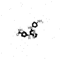 NC(=O)c1ccc(Nc2cc(N[C@H]3CC[C@H](N)CC3)nn3ccnc23)cc1